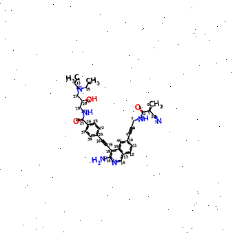 C=C(C#N)C(=O)NCC#Cc1ccc2cnc(N)c(C#Cc3ccc(C(=O)NCC(O)CN(CC)CC)cc3)c2c1